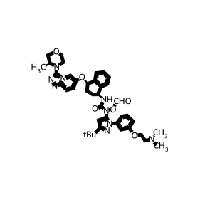 C[C@H]1COCCN1c1nnc2ccc(O[C@@H]3CC[C@H](NC(=O)N(OC=O)c4cc(C(C)(C)C)nn4-c4cccc(OCCN(C)C)c4)c4ccccc43)cn12